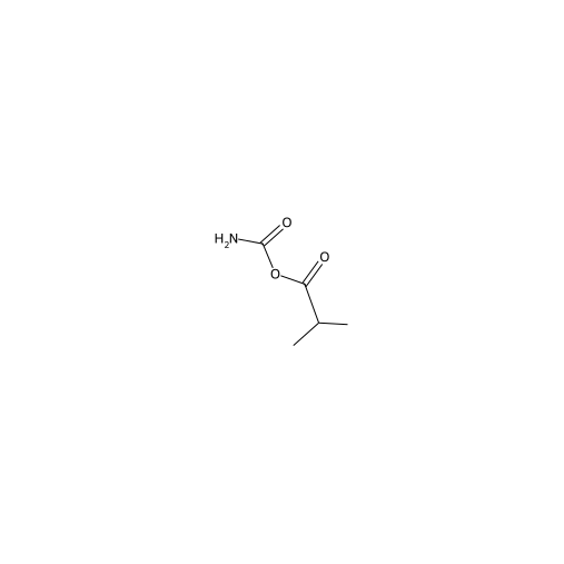 CC(C)C(=O)OC(N)=O